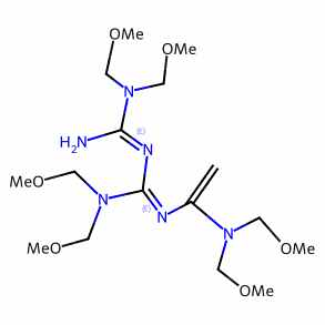 C=C(/N=C(\N=C(/N)N(COC)COC)N(COC)COC)N(COC)COC